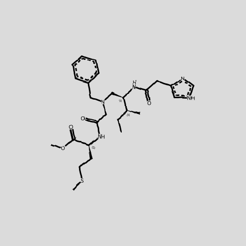 CC[C@H](C)[C@@H](CN(CC(=O)N[C@@H](CCSC)C(=O)OC)Cc1ccccc1)NC(=O)Cc1c[nH]cn1